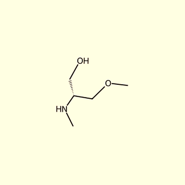 CN[C@H](CO)COC